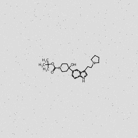 CC(C)(C)OC(=O)N1CCC(O)(c2ccc3[nH]cc(CCN4CCCC4)c3c2)CC1